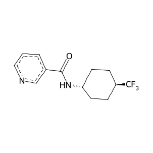 O=C(N[C@H]1CC[C@H](C(F)(F)F)CC1)c1cccnc1